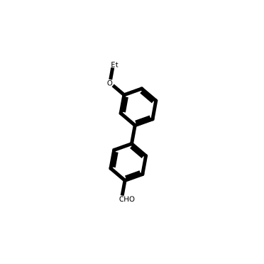 CCOc1cccc(-c2ccc(C=O)cc2)c1